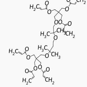 C=CC(=O)OCC(COCC(C)(C)OCCC(C)(C)OCC(COC(=O)C=C)(COC(=O)C=C)COC(=O)C=C)(COC(=O)C=C)COC(=O)C=C